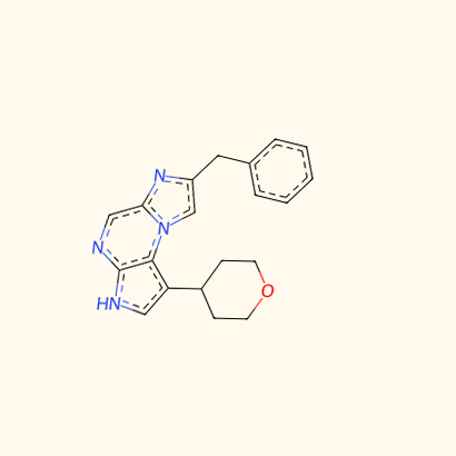 c1ccc(Cc2cn3c(cnc4[nH]cc(C5CCOCC5)c43)n2)cc1